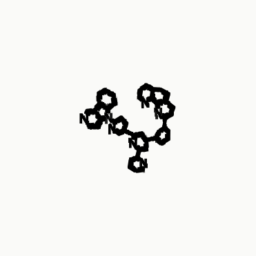 c1ccc(-c2cc(-c3cccc(-c4ccc5ccc6cccnc6c5n4)c3)cc(-c3ccc(-n4c5ccccc5c5cnccc54)nc3)n2)nc1